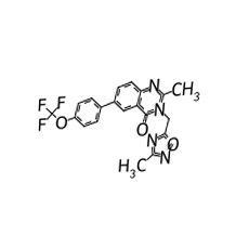 Cc1noc(Cn2c(C)nc3ccc(-c4ccc(OC(F)(F)F)cc4)cc3c2=O)n1